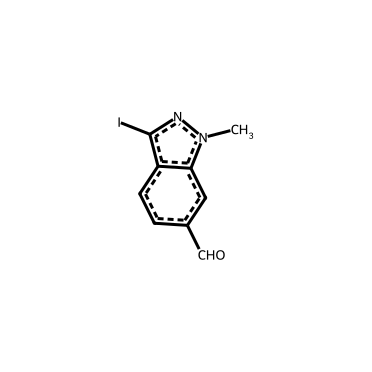 Cn1nc(I)c2ccc(C=O)cc21